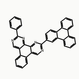 c1ccc(-c2ncc3c4ccccc4c4cnc(-c5ccc6c7ccccc7c7ccccc7c6c5)nc4c3n2)cc1